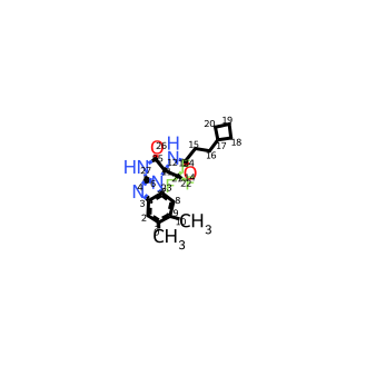 Cc1cc2nc3n(c2cc1C)C(NC(=O)CCC1CCC1)(C(F)(F)F)C(=O)N3